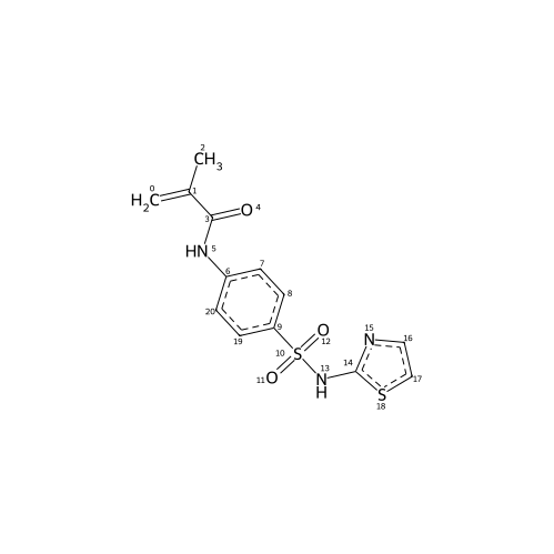 C=C(C)C(=O)Nc1ccc(S(=O)(=O)Nc2nccs2)cc1